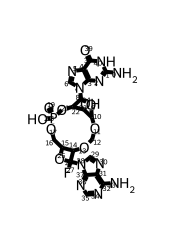 Nc1nc2c(ncn2C2OC3OCOC4C(COP(=O)(O)OC2C3O)OC4(F)n2cnc3c(N)ncnc32)c(=O)[nH]1